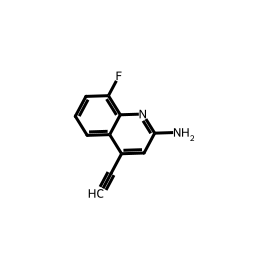 C#Cc1cc(N)nc2c(F)cccc12